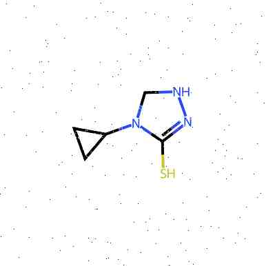 SC1=NNCN1C1CC1